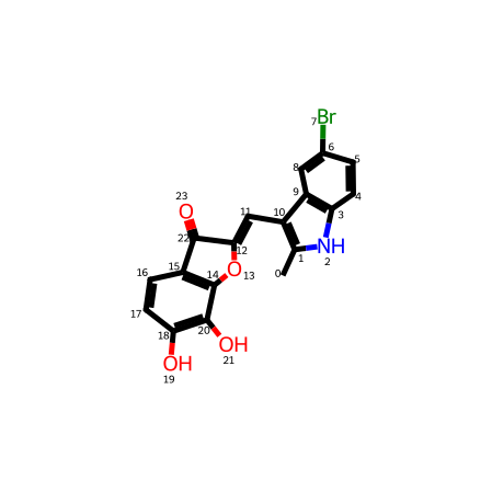 Cc1[nH]c2ccc(Br)cc2c1/C=C1\Oc2c(ccc(O)c2O)C1=O